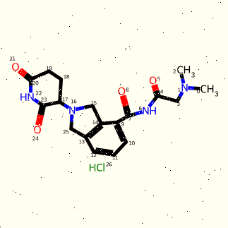 CN(C)CC(=O)NC(=O)c1cccc2c1CN(C1CCC(=O)NC1=O)C2.Cl